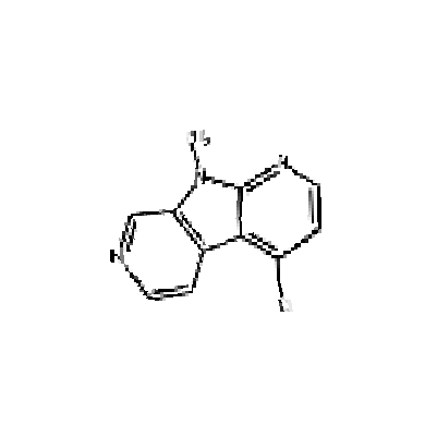 Pn1c2cnccc2c2c(Cl)ccnc21